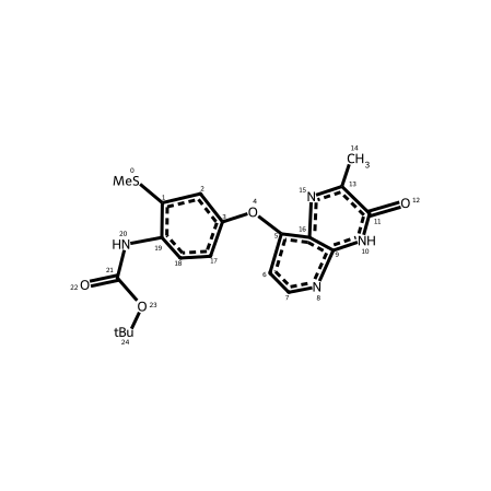 CSc1cc(Oc2ccnc3[nH]c(=O)c(C)nc23)ccc1NC(=O)OC(C)(C)C